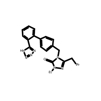 CCn1nc(CC(C)C)n(Cc2ccc(-c3ccccc3-c3nnn[nH]3)cc2)c1=O